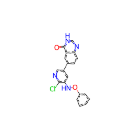 O=c1[nH]cnc2ccc(-c3cnc(Cl)c(NOc4ccccc4)c3)cc12